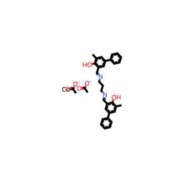 CC(=O)[O-].CC(=O)[O-].Cc1cc(-c2ccccc2)cc(C=NCCCN=Cc2cc(-c3ccccc3)cc(C)c2O)c1O.[Co+2]